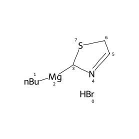 Br.CCC[CH2][Mg][CH]1N=CCS1